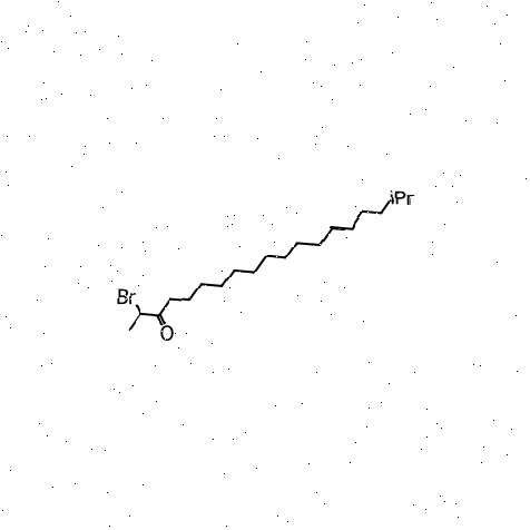 CC(C)CCCCCCCCCCCCCCC(=O)C(C)Br